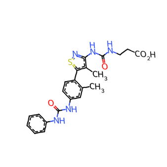 Cc1cc(NC(=O)Nc2ccccc2)ccc1-c1snc(NC(=O)NCCC(=O)O)c1C